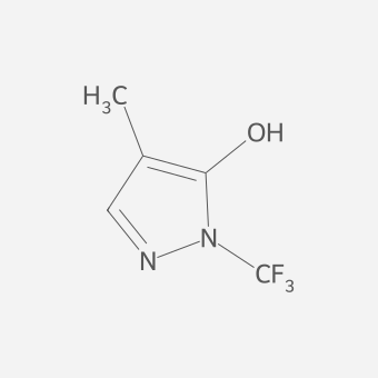 Cc1cnn(C(F)(F)F)c1O